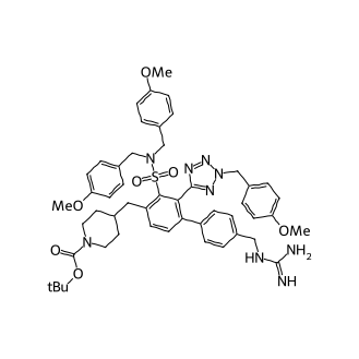 COc1ccc(CN(Cc2ccc(OC)cc2)S(=O)(=O)c2c(CC3CCN(C(=O)OC(C)(C)C)CC3)ccc(-c3ccc(CNC(=N)N)cc3)c2-c2nnn(Cc3ccc(OC)cc3)n2)cc1